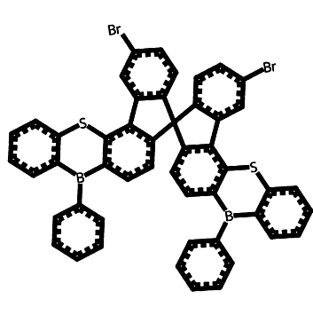 Brc1ccc2c(c1)-c1c(ccc3c1Sc1ccccc1B3c1ccccc1)C21c2ccc(Br)cc2-c2c1ccc1c2Sc2ccccc2B1c1ccccc1